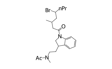 CCCC(Br)CC(C)CC(=O)N1CC(CCN(C)C(C)=O)c2ccccc21